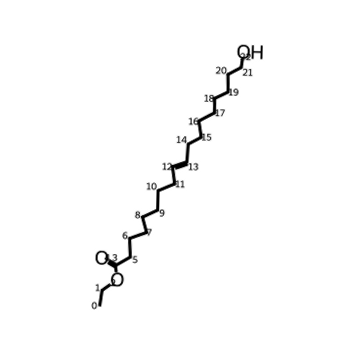 CCOC(=O)CCCCCCC/C=C/CCCCCCCCO